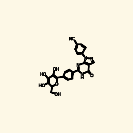 N#Cc1ccc(-n2ncc3c(=O)[nH]c(-c4ccc(C5=C(O)C(O)=C(O)C(CO)O5)cc4)nc32)cc1